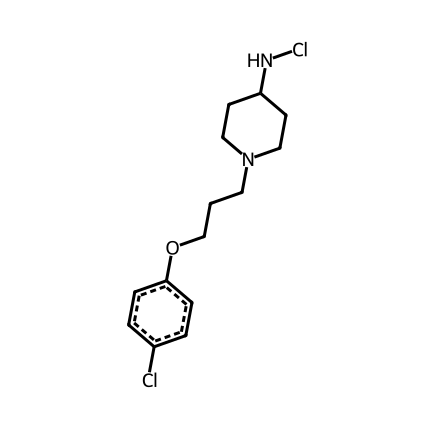 ClNC1CCN(CCCOc2ccc(Cl)cc2)CC1